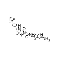 Nc1cc2sc(CNC(=O)Cn3cnc4c(c3=O)N[C@H](c3ccc(C(F)(F)F)cc3)CO4)cc2cn1